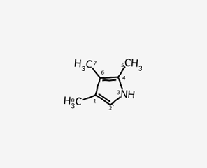 Cc1[c][nH]c(C)c1C